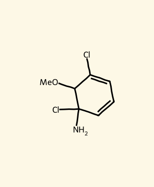 COC1C(Cl)=CC=CC1(N)Cl